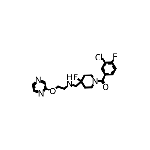 O=C(c1ccc(F)c(Cl)c1)N1CCC(F)(CNCCOc2cnccn2)CC1